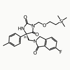 Cc1ccc([C@]2(CN3Cc4ccc(F)cc4C3=O)NC(=O)N(COCC[Si](C)(C)C)C2=O)cc1